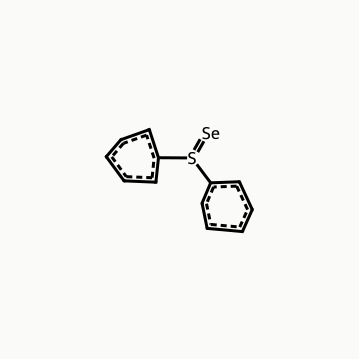 [Se]=S(c1ccccc1)c1ccccc1